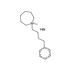 Br.C[N+]1(CCCCc2ccccc2)CCCCCC1